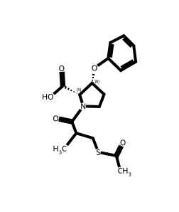 CC(=O)SCC(C)C(=O)N1CC[C@@H](Oc2ccccc2)[C@H]1C(=O)O